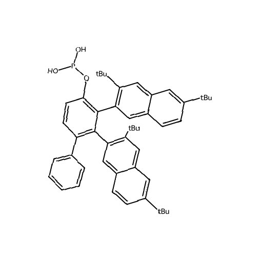 CC(C)(C)c1ccc2cc(-c3c(OP(O)O)ccc(-c4ccccc4)c3-c3cc4ccc(C(C)(C)C)cc4cc3C(C)(C)C)c(C(C)(C)C)cc2c1